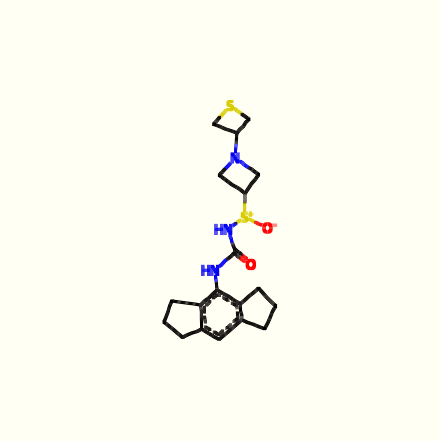 O=C(Nc1c2c(cc3c1CCC3)CCC2)N[S+]([O-])C1CN(C2CSC2)C1